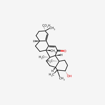 CC1(C)[C@@H](O)CC[C@]2(C)[C@H]3C(=O)C=C4C5=C[C@@](C)(C(=O)O)CC[C@H]5CC[C@@]4(C)[C@]3(C)CC[C@@H]12